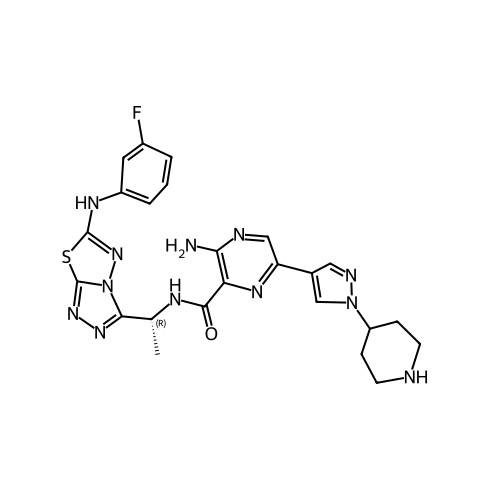 C[C@@H](NC(=O)c1nc(-c2cnn(C3CCNCC3)c2)cnc1N)c1nnc2sc(Nc3cccc(F)c3)nn12